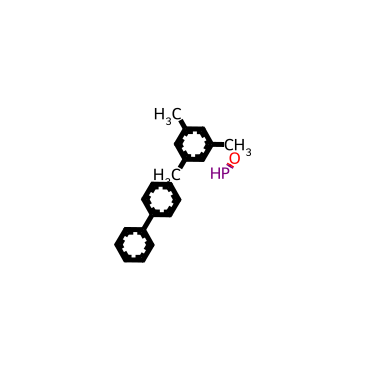 Cc1cc(C)cc(C)c1.O=P.c1ccc(-c2ccccc2)cc1